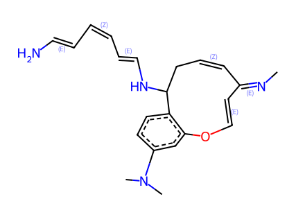 C/N=C1\C=C/CC(N/C=C/C=C\C=C\N)c2ccc(N(C)C)cc2O\C=C\1